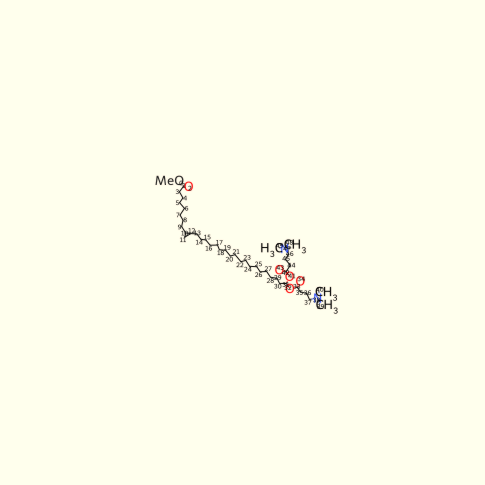 COC(=O)CCCCCCCC1CC1CCCCCCCCCCCCCCCCCCC(OC(=O)CCCN(C)C)OC(=O)CCCN(C)C